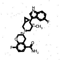 C[C@@H](Cc1c[nH]c2ccc(F)cc12)CN(CC1CC1)[C@H]1COc2c(F)ccc(C(N)=O)c2C1